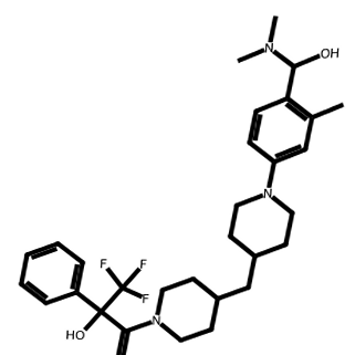 Cc1cc(N2CCC(CC3CCN(C(=O)C(O)(c4ccccc4)C(F)(F)F)CC3)CC2)ccc1C(O)N(C)C